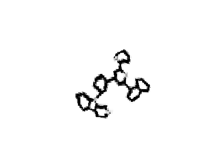 c1ccc(-c2cc(-c3cccc(-n4c5ccccc5c5ccncc54)c3)cc(-c3cccc4ccccc34)n2)nc1